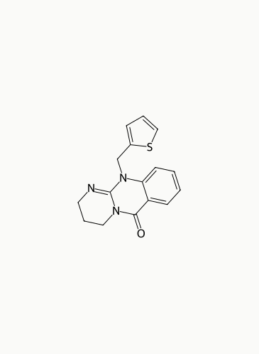 O=C1c2ccccc2N(Cc2cccs2)C2=NCCCN12